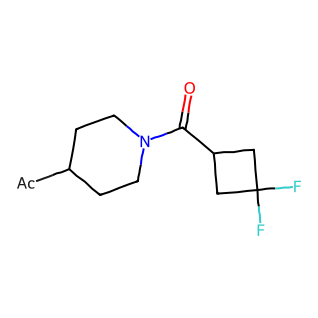 CC(=O)C1CCN(C(=O)C2CC(F)(F)C2)CC1